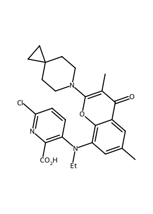 CCN(c1ccc(Cl)nc1C(=O)O)c1cc(C)cc2c(=O)c(C)c(N3CCC4(CC3)CC4)oc12